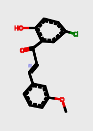 COc1cccc(/C=C/C(=O)c2cc(Cl)ccc2O)c1